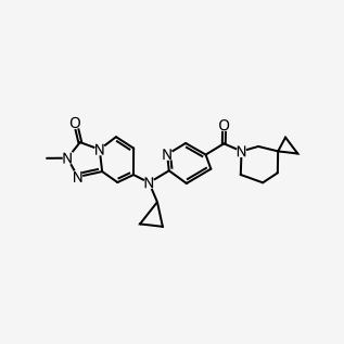 Cn1nc2cc(N(c3ccc(C(=O)N4CCCC5(CC5)C4)cn3)C3CC3)ccn2c1=O